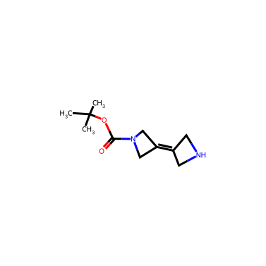 CC(C)(C)OC(=O)N1CC(=C2CNC2)C1